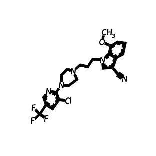 COc1cccc2c(C#N)cn(CCCN3CCN(c4ncc(C(F)(F)F)cc4Cl)CC3)c12